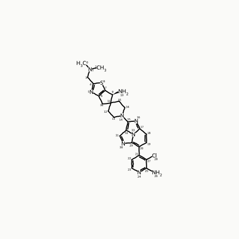 CN(C)Cc1nc2c(s1)[C@@H](N)C1(CCN(c3nc4ccc(-c5ccnc(N)c5Cl)c5ncc3n45)CC1)C2